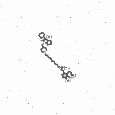 O=C(OCC1CCN(CCCCCCCCCNC[C@H](O)c2ccc(O)c3[nH]c(=O)ccc23)CC1)C(O)(C1CCCCC1)C1CCCCC1